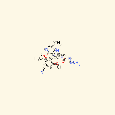 CCOC1=NC=C(C)C(=N/C(C)=C/C(=O)N=NN)/C1=C/c1ccc(C#N)cc1OC